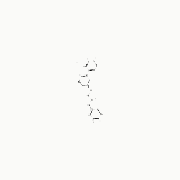 COc1ccccc1-c1cccc(CCCCc2ccccc2)c1